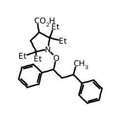 CCC1(CC)CC(C(=O)O)C(CC)(CC)N1OC(CC(C)c1ccccc1)c1ccccc1